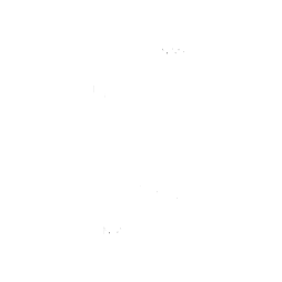 CNCCC(C)(C)OCCOC(C)(C)CCNC